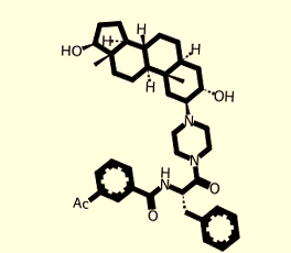 CC(=O)c1cccc(C(=O)N[C@@H](Cc2ccccc2)C(=O)N2CCN([C@H]3C[C@@]4(C)[C@@H](CC[C@@H]5[C@@H]4CC[C@]4(C)[C@@H](O)CC[C@@H]54)C[C@@H]3O)CC2)c1